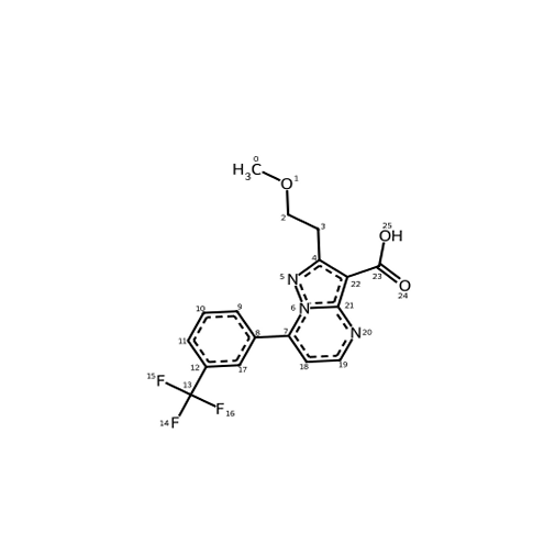 COCCc1nn2c(-c3cccc(C(F)(F)F)c3)ccnc2c1C(=O)O